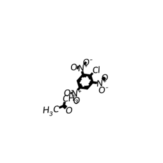 CC(C)=O.O=[N+]([O-])c1cc([N+](=O)[O-])c(Cl)c([N+](=O)[O-])c1